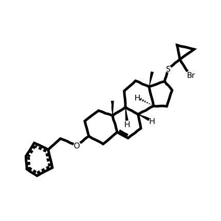 C[C@]12CCC(OCc3ccccc3)CC1=CC[C@@H]1[C@H]2CC[C@]2(C)C(SC3(Br)CC3)CC[C@@H]12